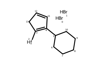 Br.Br.[Hf][C]1=C(C2CCCCC2)C=CC1